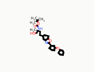 CC(C)(C)OC(=O)N[C@@](C)(CO)CCc1ccc2oc(-c3cccc(Oc4ccccc4)c3)nc2c1